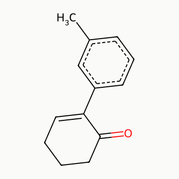 Cc1cccc(C2=CCCCC2=O)c1